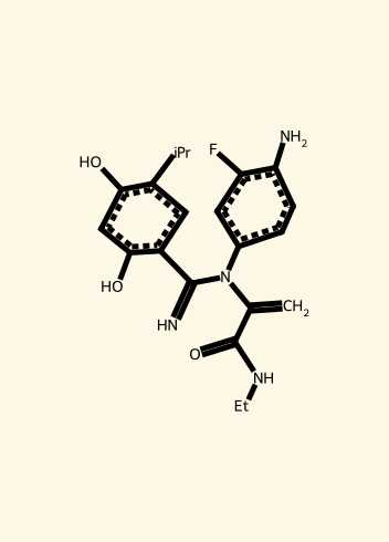 C=C(C(=O)NCC)N(C(=N)c1cc(C(C)C)c(O)cc1O)c1ccc(N)c(F)c1